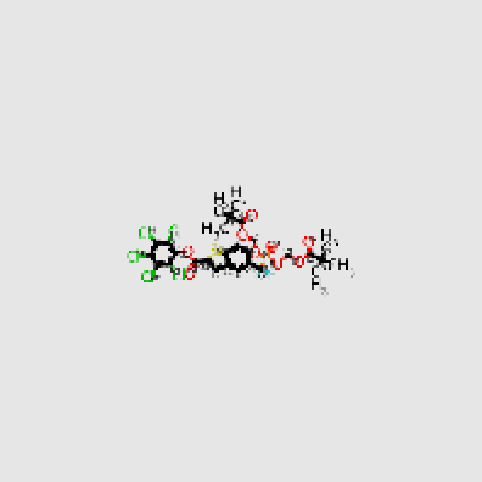 CC(C)(C)C(=O)OCOP(=O)(OCOC(=O)C(C)(C)C)C(F)(F)c1ccc2sc(C(=O)Oc3c(Cl)c(Cl)c(Cl)c(Cl)c3Cl)cc2c1